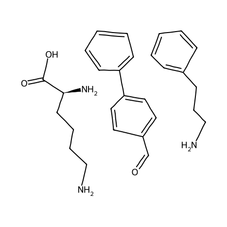 NCCCC[C@H](N)C(=O)O.NCCCc1ccccc1.O=Cc1ccc(-c2ccccc2)cc1